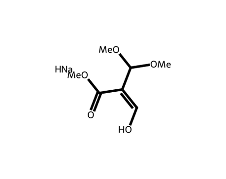 COC(=O)/C(=C\O)C(OC)OC.[NaH]